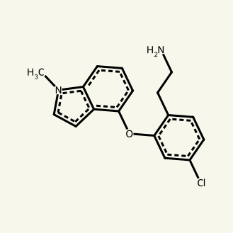 Cn1ccc2c(Oc3cc(Cl)ccc3CCN)cccc21